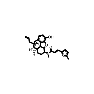 C=CCN1CC[C@]23c4c5ccc(O)c4OC2C(N(C)C(=O)/C=C/c2ccc(C)s2)CC[C@@]3(O)[C@H]1C5